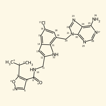 CC(C)c1oncc1C(=O)NCc1cc2cc(Cl)cc(Cn3cnc4c(N)ncnc43)c2[nH]1